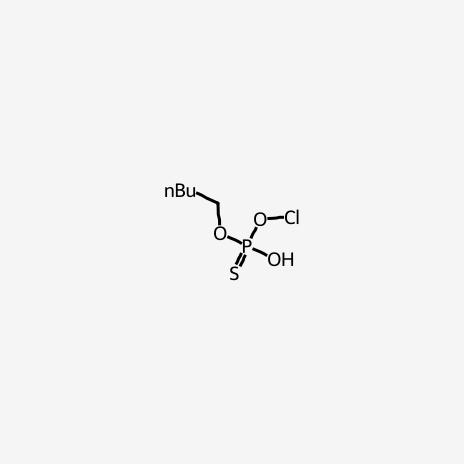 CCCCCOP(O)(=S)OCl